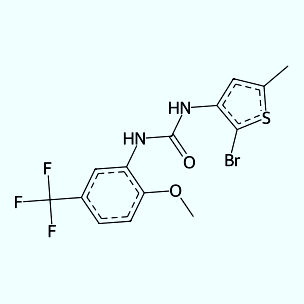 COc1ccc(C(F)(F)F)cc1NC(=O)Nc1cc(C)sc1Br